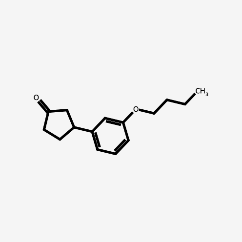 CCCCOc1cccc(C2CCC(=O)C2)c1